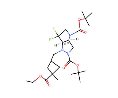 CCOC(=O)C1(C)CC(CN2[C@@H]3[C@H](CN2C(=O)OC(C)(C)C)N(C(=O)OC(C)(C)C)CC3(F)F)C1